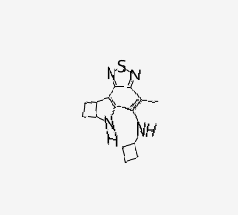 Cc1c(NC2CCC2)c2c(c3nsnc13)C1CCC1N2